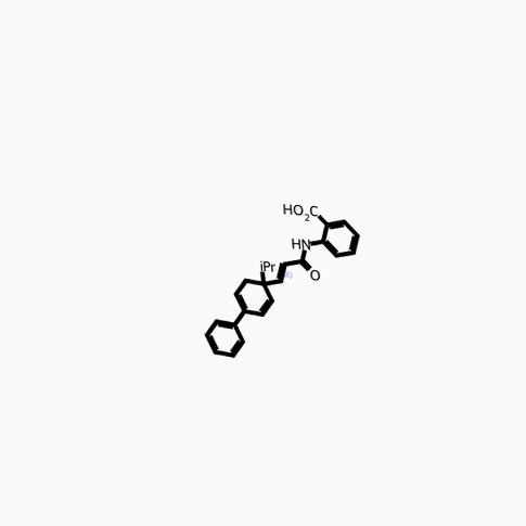 CC(C)C1(/C=C/C(=O)Nc2ccccc2C(=O)O)C=CC(c2ccccc2)=CC1